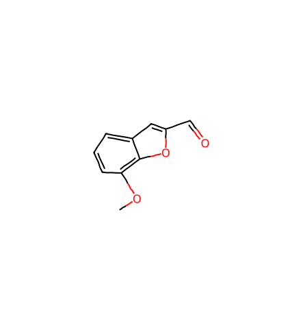 COc1cccc2cc(C=O)oc12